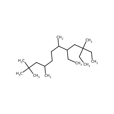 [CH2]C(CCC(C)CC(C)(C)C)C(CC)CC(C)(CC)CC